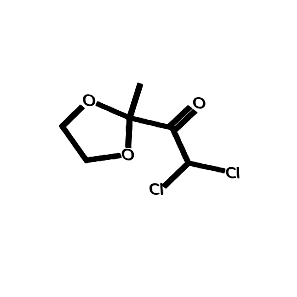 CC1(C(=O)C(Cl)Cl)OCCO1